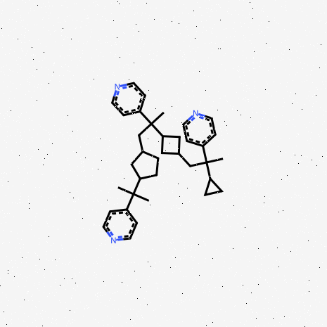 CC(C)(c1ccncc1)C1CCC(CC(C)(c2ccncc2)C2CC(CC(C)(c3ccncc3)C3CC3)C2)C1